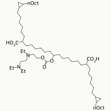 CCCCCCCCC1CC1CCCCCCC(CCCCCCC(CCCCCCC(CCCCCCC1CC1CCCCCCCC)C(=O)O)OC(=O)OCCN(CC)CCN(CC)CC)C(=O)O